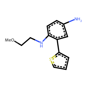 COCCNc1ccc(N)cc1-c1cccs1